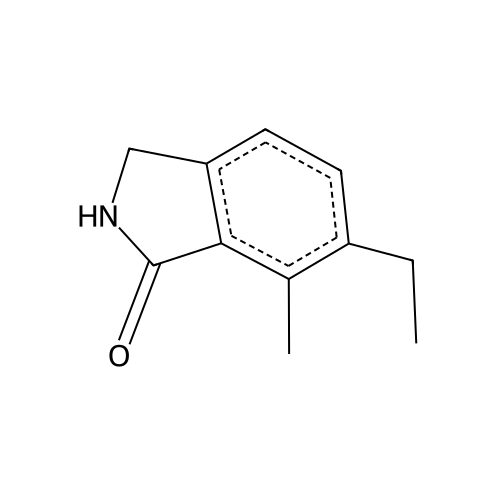 CCc1ccc2c(c1C)C(=O)NC2